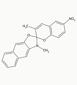 CC1=Cc2cc([N+](=O)[O-])ccc2OC12Oc1cc3ccccc3cc1N2C